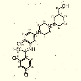 CC(Nc1cc(N2CCN(C3CCCC(CO)C3)CC2)ccc1Cl)c1ccc(Cl)cc1Cl